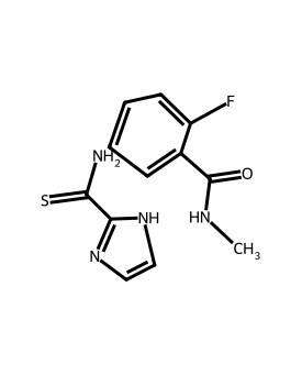 CNC(=O)c1ccccc1F.NC(=S)c1ncc[nH]1